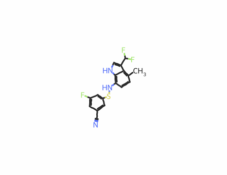 Cc1ccc(NSc2cc(F)cc(C#N)c2)c2[nH]cc(C(F)F)c12